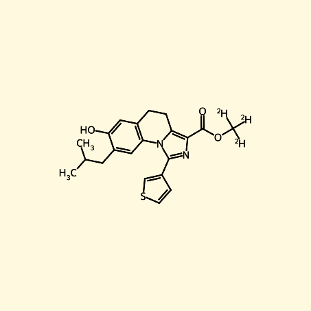 [2H]C([2H])([2H])OC(=O)c1nc(-c2ccsc2)n2c1CCc1cc(O)c(CC(C)C)cc1-2